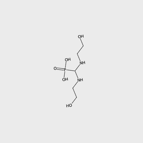 O=P(O)(O)C(NCCO)NCCO